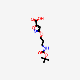 CC(C)(C)OC(=O)NCCCOc1cc(C(=O)O)on1